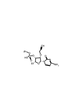 C#CCO[C@H]1[C@@H](OP(=O)(S)OC(C)C)[C@@H](CC)O[C@H]1n1ccc(N)nc1=O